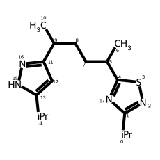 CC(C)c1nsc(C(C)CCC(C)c2cc(C(C)C)[nH]n2)n1